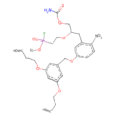 CCCCCCCCCCCCOc1cc(COc2ccc([N+](=O)[O-])c(CC(COC(N)=O)OCCP(=O)(F)OCC)c2)cc(OCCCCCCCCCCCC)c1